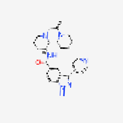 C=C(CN1CCC[C@@H](NC(=O)c2ccc3[nH]nc(-c4ccncc4)c3c2)C1)N1CCCCC1